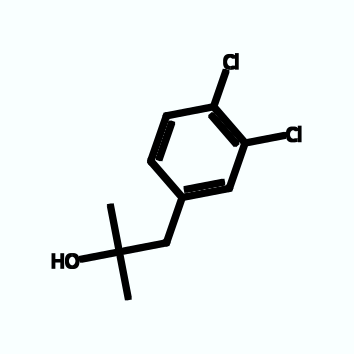 CC(C)(O)Cc1ccc(Cl)c(Cl)c1